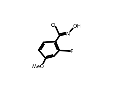 COc1ccc(C(Cl)=NO)c(F)c1